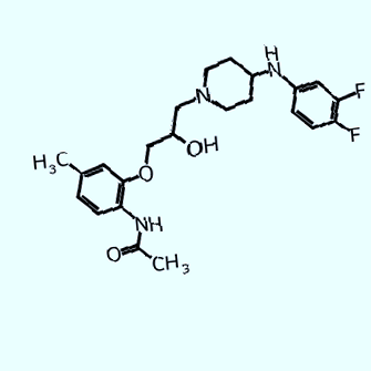 CC(=O)Nc1ccc(C)cc1OCC(O)CN1CCC(Nc2ccc(F)c(F)c2)CC1